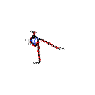 COCCOCCOCCOCCOCCOCCOCCOCCCN(CCCOCCOCCOCCOCCOCCOCCOCCOC)CCCc1cc(NC(=O)[C@H](C)NC(=O)[C@@H](NC(=O)CN2C(=O)C=CC2=O)C(C)C)ccc1COC(=O)C(C)(C)C